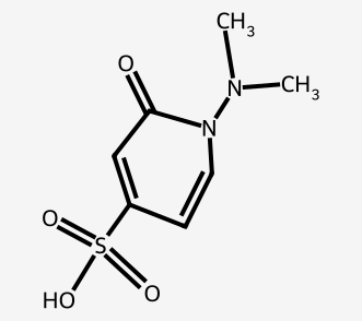 CN(C)n1ccc(S(=O)(=O)O)cc1=O